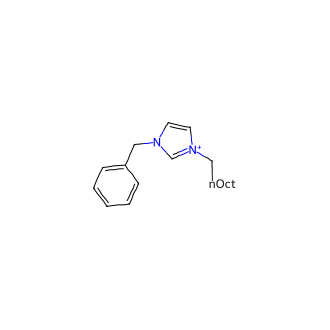 CCCCCCCCC[n+]1ccn(Cc2ccccc2)c1